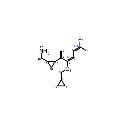 C=C(/C(=C\C=C(/C)F)OCC1CC1)C1CC1CN